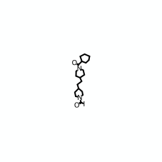 O=C(I)N1CCC(CCC2CCN(C(=O)C3CCCCC3)CC2)CC1